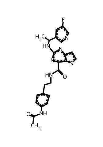 CC(=O)Nc1ccc(CCNC(=O)c2nc(NC(C)c3cncc(F)c3)nc3ccsc23)cc1